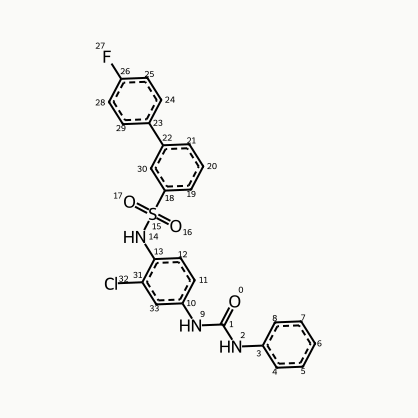 O=C(Nc1ccccc1)Nc1ccc(NS(=O)(=O)c2cccc(-c3ccc(F)cc3)c2)c(Cl)c1